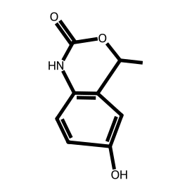 CC1OC(=O)Nc2ccc(O)cc21